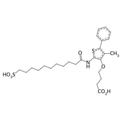 Cc1c(-c2ccccc2)sc(NC(=O)CCCCCCCCCCS(=O)(=O)O)c1OCCCC(=O)O